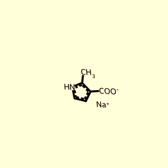 Cc1[nH]ccc1C(=O)[O-].[Na+]